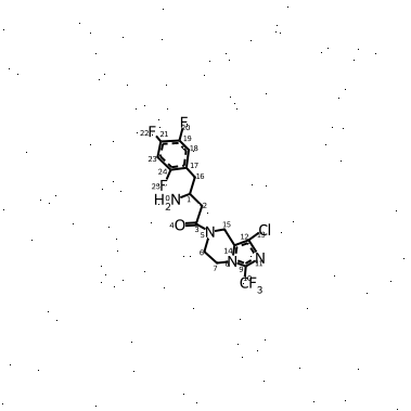 NC(CC(=O)N1CCn2c(C(F)(F)F)nc(Cl)c2C1)Cc1cc(F)c(F)cc1F